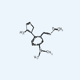 CON=Cc1cc(N(C)C)ccc1C1=C(C)C=CC1